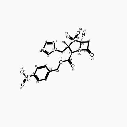 C[C@]1(Cn2cncn2)[C@H](C(=O)OCc2ccc([N+](=O)[O-])cc2)N2C(=O)C[C@@H]2S1(=O)=O